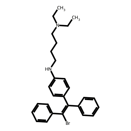 CCN(CC)CCCCNc1ccc(/C(=C(/Br)c2ccccc2)c2ccccc2)cc1